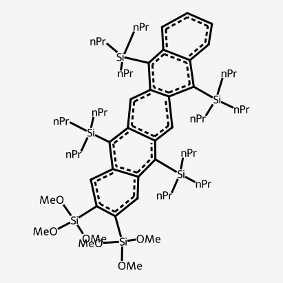 CCC[Si](CCC)(CCC)c1c2ccccc2c([Si](CCC)(CCC)CCC)c2cc3c([Si](CCC)(CCC)CCC)c4cc([Si](OC)(OC)OC)c([Si](OC)(OC)OC)cc4c([Si](CCC)(CCC)CCC)c3cc12